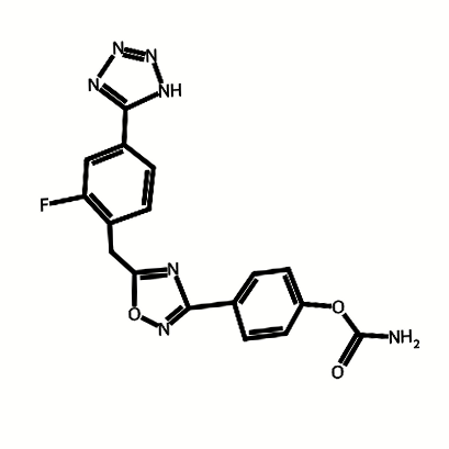 NC(=O)Oc1ccc(-c2noc(Cc3ccc(-c4nnn[nH]4)cc3F)n2)cc1